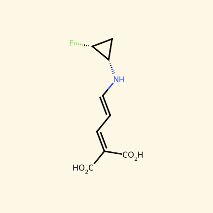 O=C(O)C(=C/C=C/N[C@H]1C[C@H]1F)C(=O)O